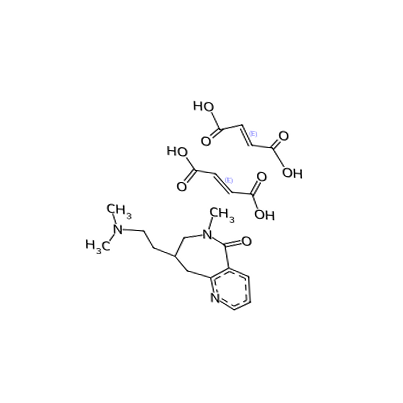 CN(C)CCC1Cc2ncccc2C(=O)N(C)C1.O=C(O)/C=C/C(=O)O.O=C(O)/C=C/C(=O)O